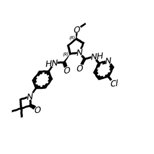 CO[C@@H]1C[C@H](C(=O)Nc2ccc(N3CC(C)(C)C3=O)cc2)N(C(=O)Nc2ccc(Cl)cn2)C1